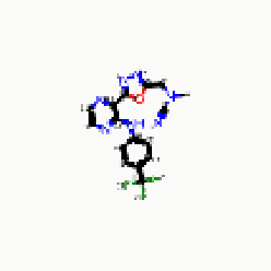 CN(C#N)Cc1nnc(-c2nccnc2Nc2ccc(C(F)(F)F)cc2)o1